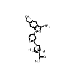 CSc1ccc2c(N)nn(-c3ccnc(N4C[C@@H]5C[C@H]4CN5C(=O)O)c3)c2c1